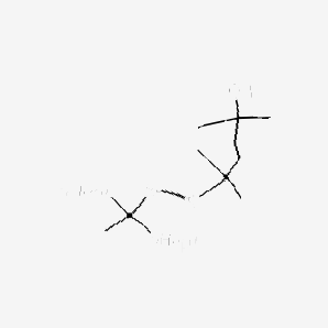 CCCCCCCC(C)(CCCCCCC)SSC(C)(C)CC(C)(C)O